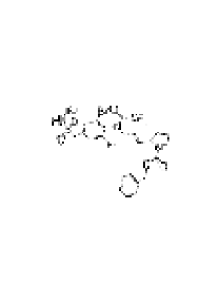 CC(C)(C)NS(=O)(=O)Cc1cc(Br)c(N(CC=CC2CCCN2C(=O)OCc2ccccc2)C(=O)C(F)(F)F)c(Br)c1